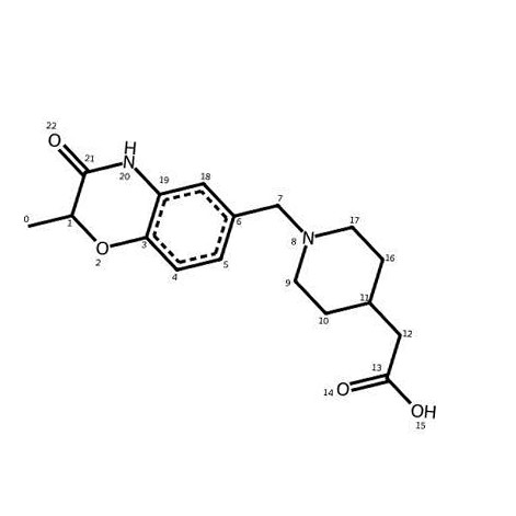 CC1Oc2ccc(CN3CCC(CC(=O)O)CC3)cc2NC1=O